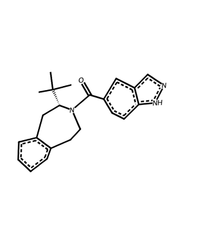 CC(C)(C)[C@H]1Cc2ccccc2CCN1C(=O)c1ccc2[nH]ncc2c1